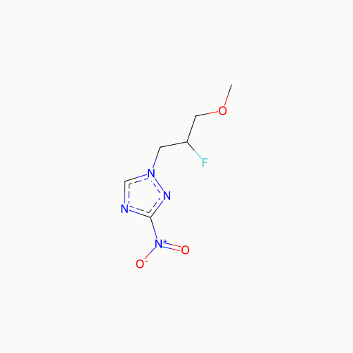 COCC(F)Cn1cnc([N+](=O)[O-])n1